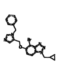 Brc1c(OCc2cncn2Cc2ccccc2)ccc2c1nnn2CC1CC1